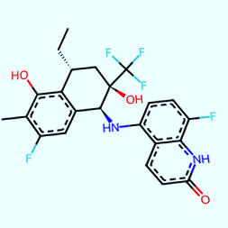 CC[C@@H]1C[C@](O)(C(F)(F)F)[C@@H](Nc2ccc(F)c3[nH]c(=O)ccc23)c2cc(F)c(C)c(O)c21